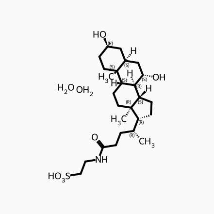 C[C@H](CCC(=O)NCCS(=O)(=O)O)[C@H]1CC[C@H]2[C@@H]3[C@@H](O)C[C@@H]4C[C@H](O)CC[C@]4(C)[C@H]3CC[C@]12C.O.O